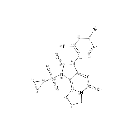 O=c1cc2c(c3n1CCC3)n(S(=O)(=O)C1CC1)c(=O)n2-c1ccc(Br)cc1F